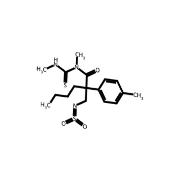 CCCCC(CN=S(=O)=O)(C(=O)N(C)C(=S)NC)c1ccc(C)cc1